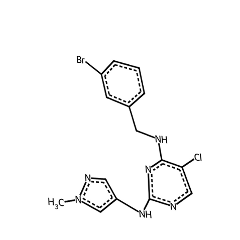 Cn1cc(Nc2ncc(Cl)c(NCc3cccc(Br)c3)n2)cn1